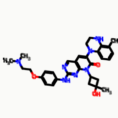 Cc1cccc2c1NCCN2c1cc2cnc(Nc3ccc(OCCN(C)C)cc3)nc2n(C2CC(C)(O)C2)c1=O